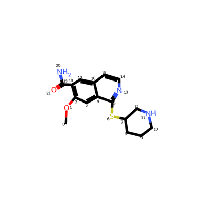 COc1cc2c(SC3CCCNC3)nccc2cc1C(N)=O